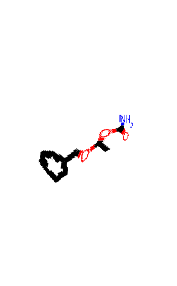 CC(OCc1ccccc1)OC(N)=O